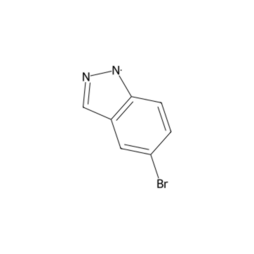 Brc1ccc2c(c1)C=N[N]2